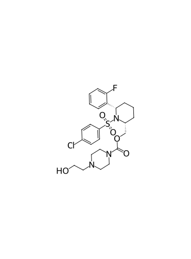 O=C(OC[C@H]1CCC[C@@H](c2ccccc2F)N1S(=O)(=O)c1ccc(Cl)cc1)N1CCN(CCO)CC1